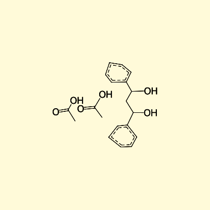 CC(=O)O.CC(=O)O.OC(CC(O)c1ccccc1)c1ccccc1